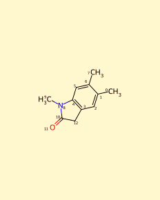 Cc1cc2c(cc1C)N(C)C(=O)C2